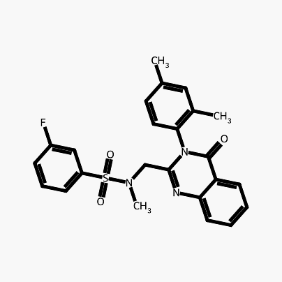 Cc1ccc(-n2c(CN(C)S(=O)(=O)c3cccc(F)c3)nc3ccccc3c2=O)c(C)c1